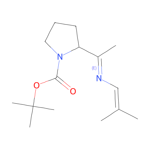 CC(C)=C/N=C(\C)C1CCCN1C(=O)OC(C)(C)C